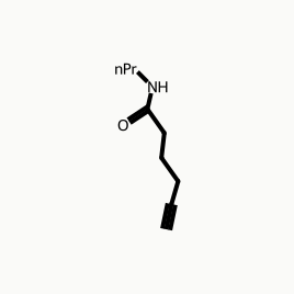 C#CCCCC(=O)NCCC